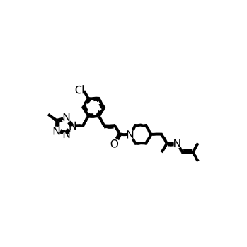 CC(C)=C/N=C(\C)CC1CCN(C(=O)/C=C/c2ccc(Cl)cc2Cn2nnc(C)n2)CC1